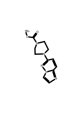 CC(C)(C)OC(=O)N1CCN(c2ccc3nccn3n2)CC1